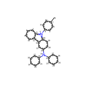 Cc1ccc(-n2c3ccccc3c3cc(N(c4ccccc4)c4ccccc4)ccc32)cc1